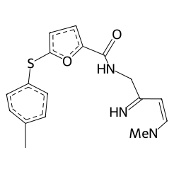 CN/C=C\C(=N)CNC(=O)c1ccc(Sc2ccc(C)cc2)o1